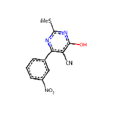 CSc1nc(O)c(C#N)c(-c2cccc([N+](=O)[O-])c2)n1